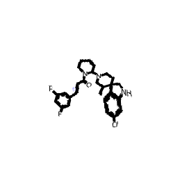 CC1CN(C2C[CH]CCN2C(=O)/C=C/c2cc(F)cc(F)c2)CCC12CNc1cc(Cl)ccc12